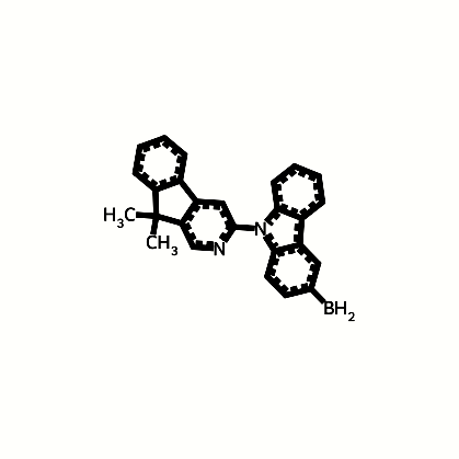 Bc1ccc2c(c1)c1ccccc1n2-c1cc2c(cn1)C(C)(C)c1ccccc1-2